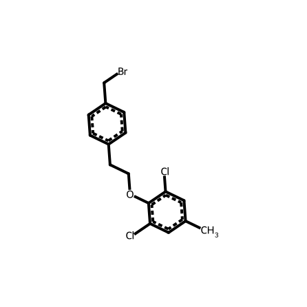 Cc1cc(Cl)c(OCCc2ccc(CBr)cc2)c(Cl)c1